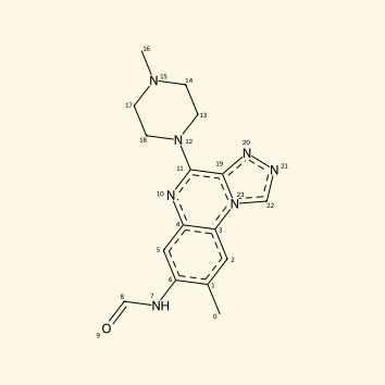 Cc1cc2c(cc1NC=O)nc(N1CCN(C)CC1)c1nncn12